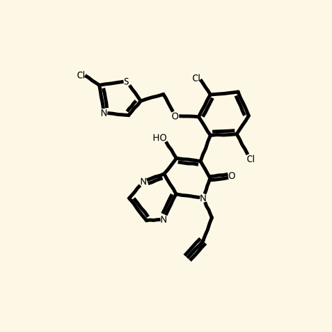 C#CCn1c(=O)c(-c2c(Cl)ccc(Cl)c2OCc2cnc(Cl)s2)c(O)c2nccnc21